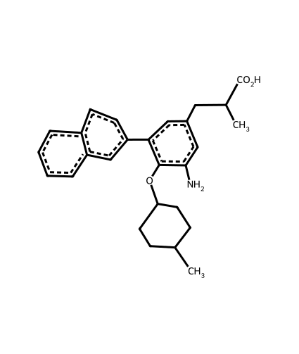 CC1CCC(Oc2c(N)cc(CC(C)C(=O)O)cc2-c2ccc3ccccc3c2)CC1